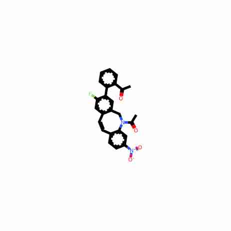 CC(=O)c1ccccc1-c1cc2c(cc1F)/C=C\c1ccc([N+](=O)[O-])cc1N(C(C)=O)C2